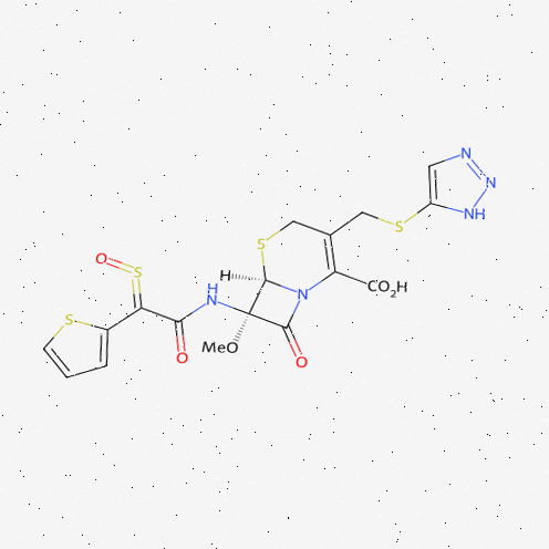 CO[C@@]1(NC(=O)C(=S=O)c2cccs2)C(=O)N2C(C(=O)O)=C(CSc3cnn[nH]3)CS[C@@H]21